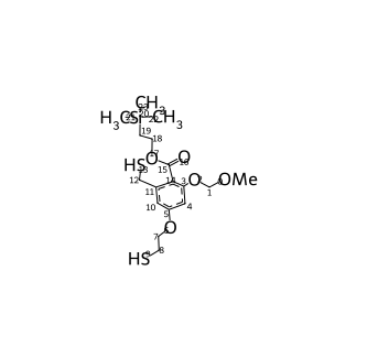 COCOc1cc(OCCS)cc(CS)c1C(=O)OCC[Si](C)(C)C